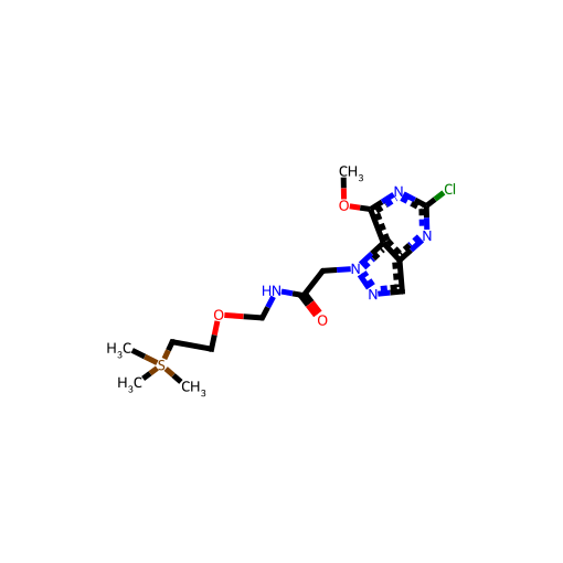 COc1nc(Cl)nc2cnn(CC(=O)NCOCCS(C)(C)C)c12